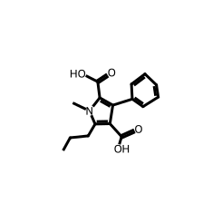 CCCc1c(C(=O)O)c(-c2ccccc2)c(C(=O)O)n1C